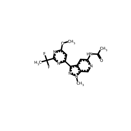 COc1cc(-c2nn(C)c3cnc(NC(C)=O)cc23)nc(C(C)(F)F)n1